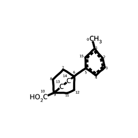 Cc1cccc(C23CCC(C(=O)O)(CC2)CC3)c1